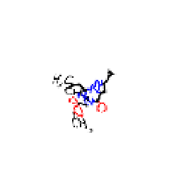 CCOC(=O)Cn1nc(CC(C)C)n2nc(C3CC3)cc2c1=O